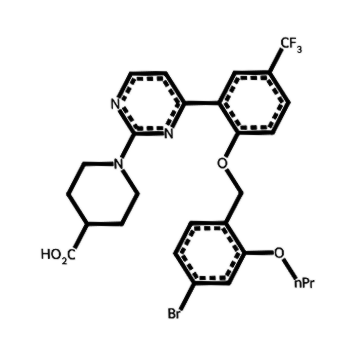 CCCOc1cc(Br)ccc1COc1ccc(C(F)(F)F)cc1-c1ccnc(N2CCC(C(=O)O)CC2)n1